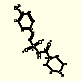 O=C(NS(=O)(=O)C=Cc1ccc(Br)cc1)N1CCSCC1